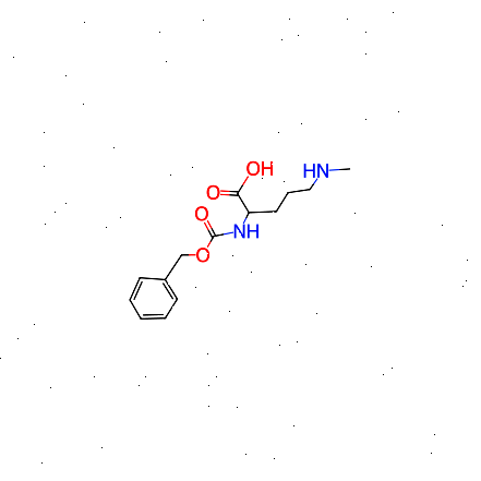 CNCCCC(NC(=O)OCc1ccccc1)C(=O)O